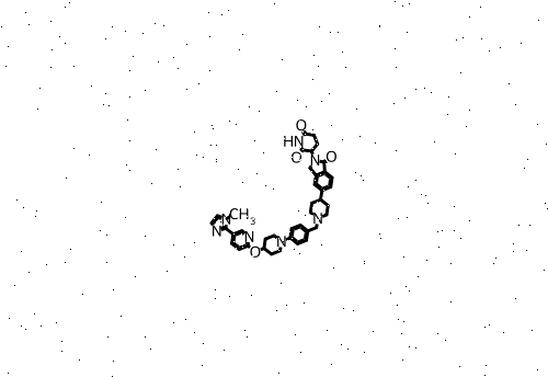 Cn1ccnc1-c1ccc(OC2CCN(c3ccc(CN4CCC(c5ccc6c(c5)CN(C5CCC(=O)NC5=O)C6=O)CC4)cc3)CC2)nc1